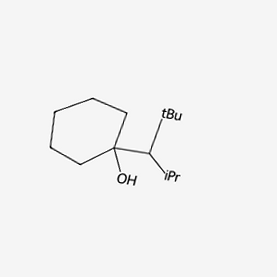 CC(C)C(C(C)(C)C)C1(O)CCCCC1